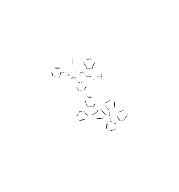 C=C/C(=N\C(=N/C(=C)c1ccccc1)c1ccc(-c2ccc(-c3cc4c(cc3-c3ccccc3)-c3ccccc3C43c4ccccc4-c4ccccc43)cc2)cc1)c1ccccc1